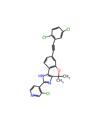 CC1(C)Oc2cc(C#Cc3cc(Cl)ccc3Cl)ccc2-c2[nH]c(-c3ccncc3Cl)nc21